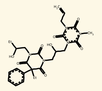 C=CCn1c(=O)n(C)c(=O)n(CC(O)CN2C(=O)N(CC(O)CC)C(=O)C(CC)(c3ccccc3)C2=O)c1=O